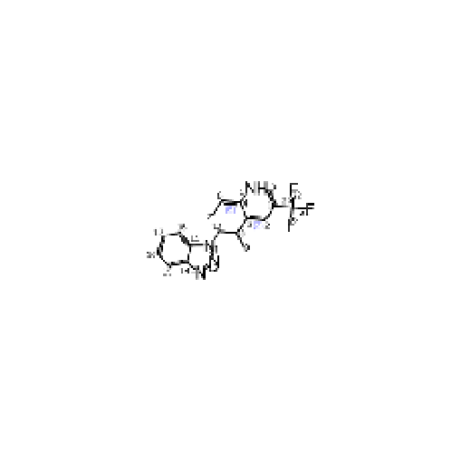 C=C(/C=C(\C(N)=C/C)C(C)Cn1nnc2ccccc21)C(F)(F)F